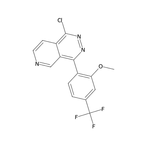 COc1cc(C(F)(F)F)ccc1-c1nnc(Cl)c2ccncc12